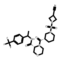 CC(NC(=O)[C@H]1COCCN1C(=O)[C@H]1CCCN(S(=O)(=O)N2CC(C#N)C2)C1)c1ccc(C(F)(F)F)cc1